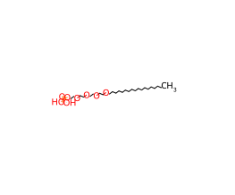 CCCCCCCCCCCCCCCCCCOCCOCCOCCOCCOP(=O)(O)O